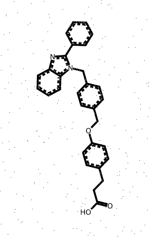 O=C(O)CCc1ccc(OCc2ccc(Cn3c(-c4ccccc4)nc4ccccc43)cc2)cc1